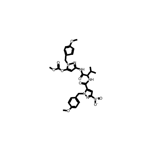 COC(=O)Oc1cc(NC(=O)C(NC(=O)c2cc([N+](=O)[O-])nn2Cc2ccc(OC)cc2)C(C)C)nn1Cc1ccc(OC)cc1